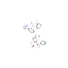 CN1C(=O)CN=C(c2ccccc2)c2cc(Cl)ccc21.Cc1nnc2n1-c1ccc(Cl)cc1C(c1ccccc1Cl)=NC2